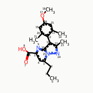 CCCc1cc(C(=O)O)nc2c(-c3c(C)cc(OC)cc3C)c(C)nn12